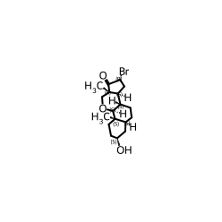 C[C@]12CC[C@H](O)C[C@@H]1CC[C@@H]1[C@@H]2OC[C@]2(C)C(=O)[C@H](Br)C[C@@H]12